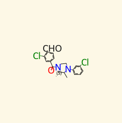 CC1[C@H](C)N(C(=O)c2ccc(C=O)c(Cl)c2)CCN1c1cccc(Cl)c1